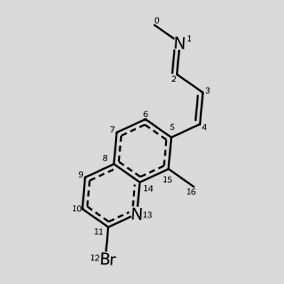 C/N=C/C=C\c1ccc2ccc(Br)nc2c1C